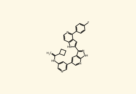 C=C(Nc1cncc(-c2cnc3[nH]nc(-c4cc5c(-c6ccc(F)cc6)nccc5[nH]4)c3c2)c1)C1CCC1